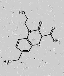 CCc1[c]cc2c(c1)OC(C(N)=O)C(=O)N2CCO